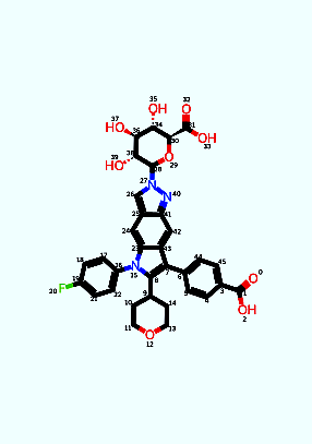 O=C(O)c1ccc(-c2c(C3CCOCC3)n(-c3ccc(F)cc3)c3cc4cn(C5O[C@H](C(=O)O)[C@@H](O)[C@H](O)[C@H]5O)nc4cc23)cc1